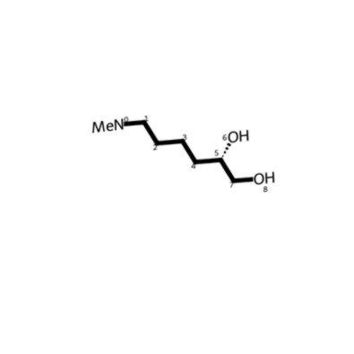 CNCCCC[C@H](O)CO